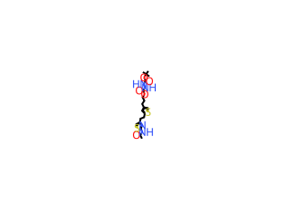 CC(=O)Nc1nc(CCc2cc(CCCOC(=O)NNC(=O)OC(C)(C)C)cs2)cs1